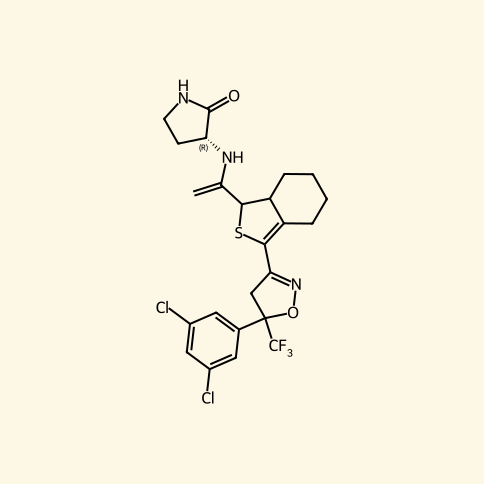 C=C(N[C@@H]1CCNC1=O)C1SC(C2=NOC(c3cc(Cl)cc(Cl)c3)(C(F)(F)F)C2)=C2CCCCC21